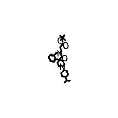 CC(C)C1CCC(N2CCC3(CC2)C(=O)N(CCC(=O)OC(C)(C)C)Cc2ccccc23)CC1